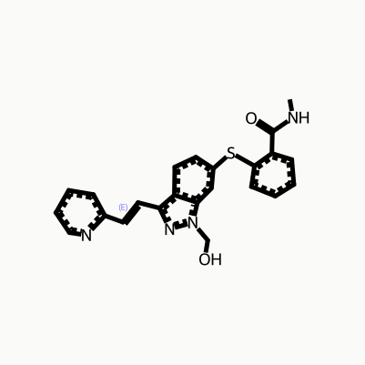 CNC(=O)c1ccccc1Sc1ccc2c(/C=C/c3ccccn3)nn(CO)c2c1